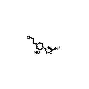 Cl.[NH-]c1c[n+](N2CCN(CCCl)CC2)no1